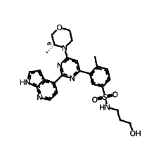 Cc1ccc(S(=O)(=O)NCCCO)cc1-c1cc(N2CCOC[C@H]2C)nc(-c2ccnc3[nH]ccc23)n1